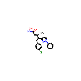 COC(CC(=O)NO)C(Cc1ccc(Cl)cc1)c1ccn(-c2ccccc2)n1